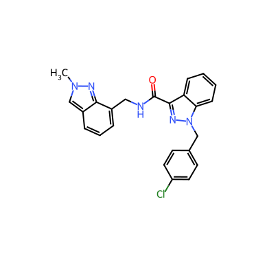 Cn1cc2cccc(CNC(=O)c3nn(Cc4ccc(Cl)cc4)c4ccccc34)c2n1